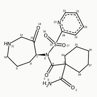 NC(=O)C1(C(=O)N([C@H]2CCCNCC2=O)S(=O)(=O)c2ccccn2)CCCCC1